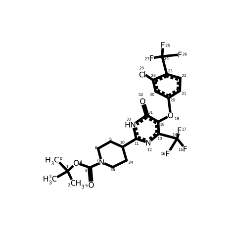 CC(C)(C)OC(=O)N1CCC(c2nc(C(F)(F)F)c(Oc3ccc(C(F)(F)F)c(Cl)c3)c(=O)[nH]2)CC1